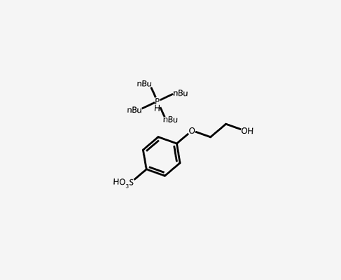 CCCC[PH](CCCC)(CCCC)CCCC.O=S(=O)(O)c1ccc(OCCO)cc1